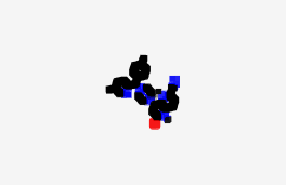 Cc1ccc(C(c2ccc(C)cn2)N2CCN(c3cc(=O)n(C)c4ccc(C#N)nc34)[C@@H](C)C2)cc1